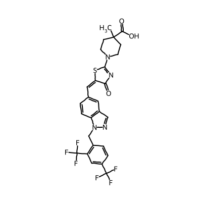 CC1(C(=O)O)CCN(C2=NC(=O)C(=Cc3ccc4c(cnn4Cc4ccc(C(F)(F)F)cc4C(F)(F)F)c3)S2)CC1